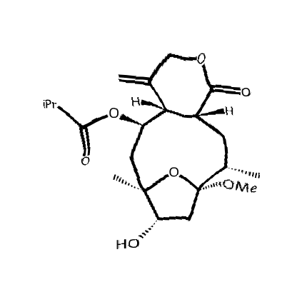 C=C1COC(=O)[C@@H]2C[C@H](C)[C@@]3(OC)C[C@H](O)[C@@](C)(C[C@@H](OC(=O)C(C)C)[C@H]12)O3